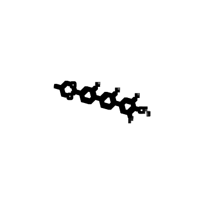 CC1COC(c2ccc(-c3ccc(-c4cc(F)c(C(F)(F)F)c(F)c4)c(F)c3)c(F)c2)OC1